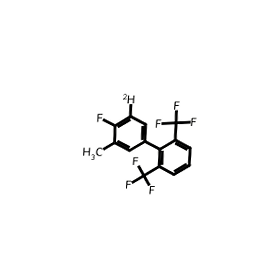 [2H]c1cc(-c2c(C(F)(F)F)cccc2C(F)(F)F)cc(C)c1F